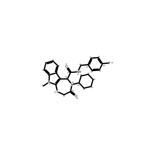 Cn1c2c(c3ccccc31)C(C(=O)NCc1ccc(F)cc1)N(C1CCCCC1)C(=O)CS2